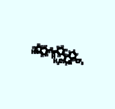 Cc1cnc2c(C(F)(F)F)cccc2c1-c1cccc(NCc2ccc3[nH]ccc3c2)c1